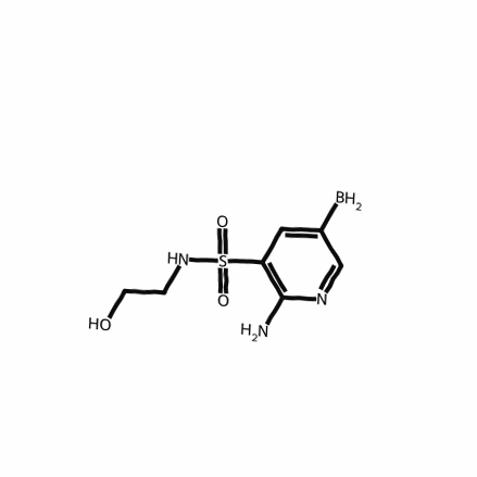 Bc1cnc(N)c(S(=O)(=O)NCCO)c1